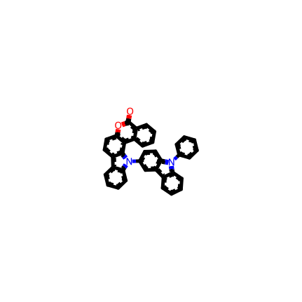 O=c1oc2ccc3c4ccccc4n(-c4ccc5c(c4)c4ccccc4n5-c4ccccc4)c3c2c2ccccc12